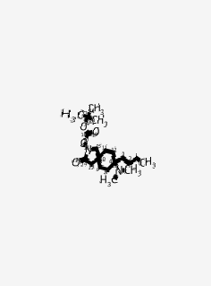 CCCCC1(N(C)C)CCC2(CC1)CC(=O)N(OC(=O)OC(C)(C)C)C2